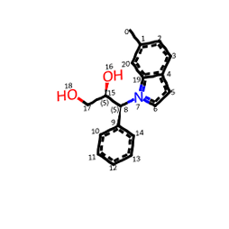 Cc1ccc2ccn([C@@H](c3ccccc3)[C@H](O)CO)c2c1